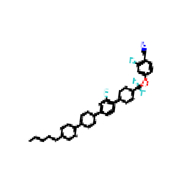 CCCCCC1CCC(C2CCC(c3ccc(C4CCC(C(F)(F)Oc5ccc(C#N)c(F)c5)CC4)c(F)c3)CC2)CC1